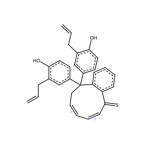 C=CCc1cc(C2(c3ccc(O)c(CC=C)c3)C/C=C\C=C/C(=S)c3ccccc32)ccc1O